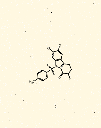 Cc1ccc(S(=O)(=O)n2c3c(c4cc(Cl)c(Cl)cc42)CCC(F)C3=O)cc1